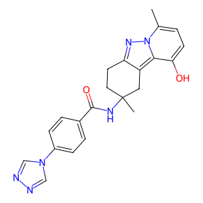 Cc1ccc(O)c2c3c(nn12)CCC(C)(NC(=O)c1ccc(-n2cnnc2)cc1)C3